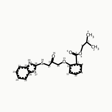 CC(C)COC(=O)c1ccccc1OCC(=O)CSc1nc2ccccc2s1